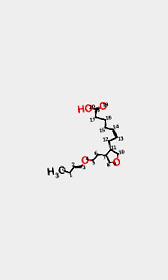 CCC=COCC[C@@H]1COC[C@@H]1C/C=C\CCCC(=O)O